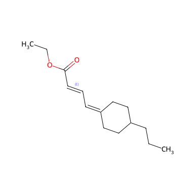 CCCC1CCC(=C/C=C/C(=O)OCC)CC1